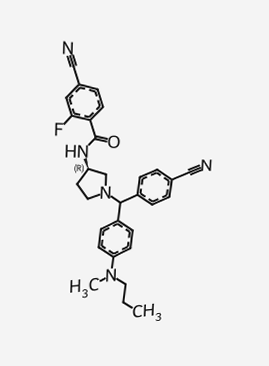 CCCN(C)c1ccc(C(c2ccc(C#N)cc2)N2CC[C@@H](NC(=O)c3ccc(C#N)cc3F)C2)cc1